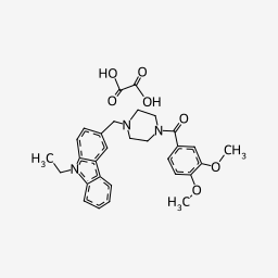 CCn1c2ccccc2c2cc(CN3CCN(C(=O)c4ccc(OC)c(OC)c4)CC3)ccc21.O=C(O)C(=O)O